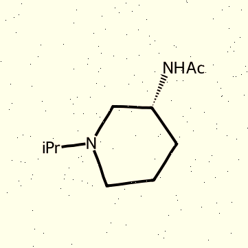 CC(=O)N[C@@H]1CCCN(C(C)C)C1